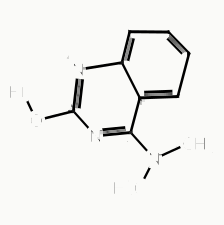 CCOc1nc(N(C)C)c2ccccc2n1